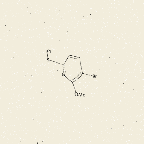 COc1nc(SC(C)C)ccc1Br